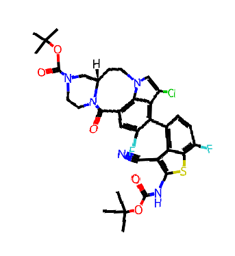 CC(C)(C)OC(=O)Nc1sc2c(F)ccc(-c3c(F)cc4c5c3c(Cl)cn5CC[C@H]3CN(C(=O)OC(C)(C)C)CCN3C4=O)c2c1C#N